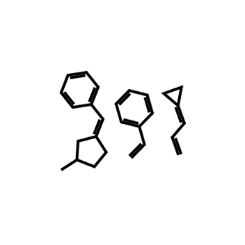 C=CC=C1CC1.C=Cc1ccccc1.CC1CCC(=Cc2ccccc2)C1